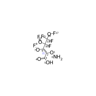 NO/C(C(=O)O)=C(/OF)C(F)(OF)C(F)(F)OF